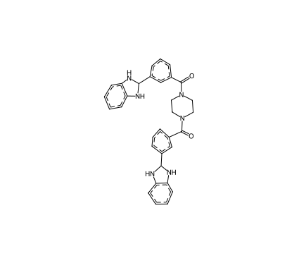 O=C(c1cccc(C2Nc3ccccc3N2)c1)N1CCN(C(=O)c2cccc(C3Nc4ccccc4N3)c2)CC1